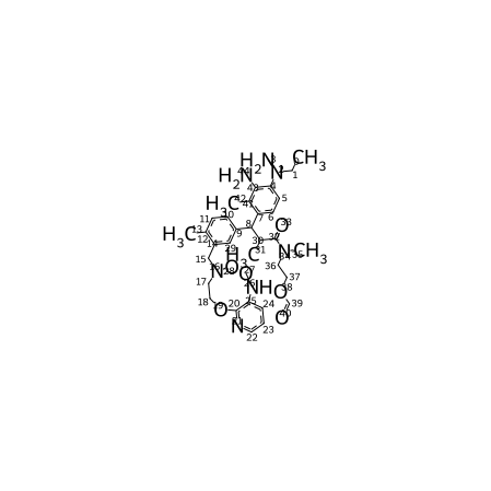 CCN(N)c1ccc(C(c2ccc(C)c(CN3CCOc4ncccc4NOO3)c2)C(C)C(=O)N(C)CCOC=O)c(C)c1N